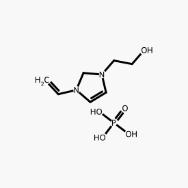 C=CN1C=CN(CCO)C1.O=P(O)(O)O